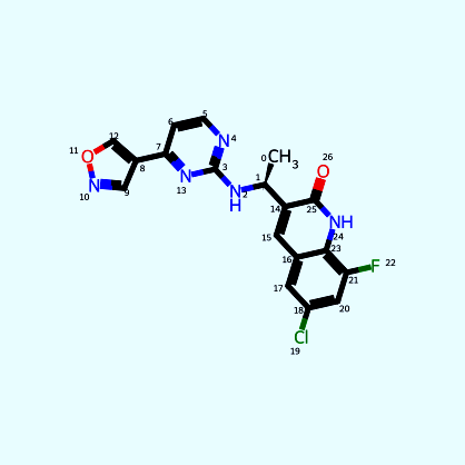 C[C@H](Nc1nccc(-c2cnoc2)n1)c1cc2cc(Cl)cc(F)c2[nH]c1=O